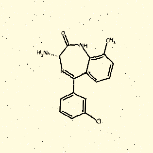 Cc1cccc2c1NC(=O)[C@@H](N)N=C2c1cccc(Cl)c1